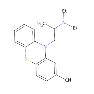 CCN(CC)C(C)CN1c2ccccc2Sc2ccc(C#N)cc21